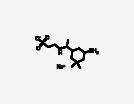 CC(NCCS(=O)(=O)[O-])C1CC(N)CC(C)(C)C1.[Na+]